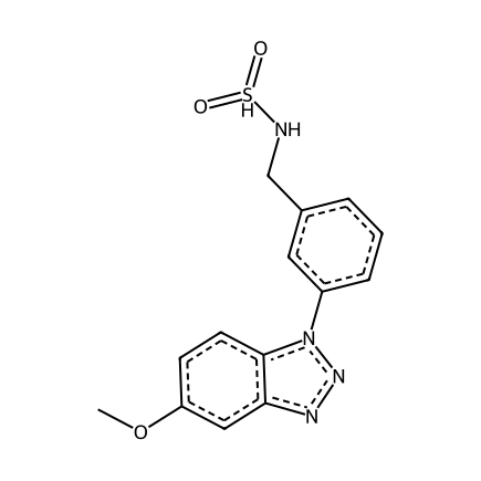 COc1ccc2c(c1)nnn2-c1cccc(CN[SH](=O)=O)c1